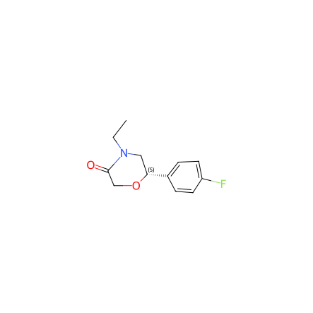 CCN1C[C@H](c2ccc(F)cc2)OCC1=O